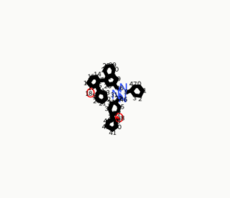 C1=CCCC(c2nc(-c3cc4c(c(-c5cccc6oc7ccccc7c56)c3)CCC=C4)nc(C3C=Cc4c(oc5ccccc45)C3)n2)=C1